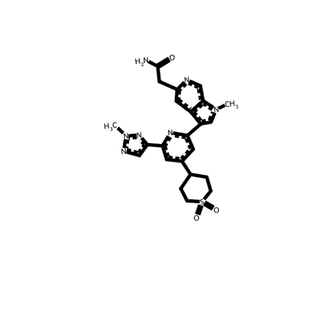 Cn1ncc(-c2cc(C3CCS(=O)(=O)CC3)cc(-c3cn(C)c4cnc(CC(N)=O)cc34)n2)n1